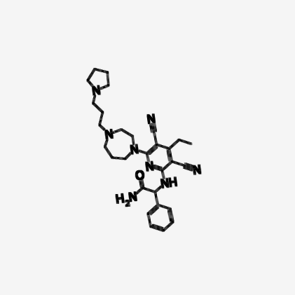 CCc1c(C#N)c(NC(C(N)=O)c2ccccc2)nc(N2CCCN(CCCN3CCCC3)CC2)c1C#N